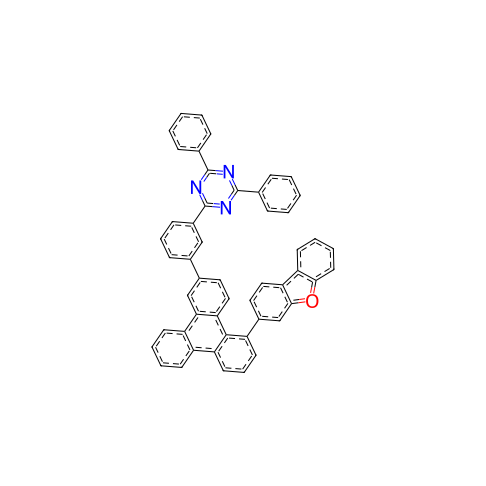 c1ccc(-c2nc(-c3ccccc3)nc(-c3cccc(-c4ccc5c(c4)c4ccccc4c4cccc(-c6ccc7c(c6)oc6ccccc67)c45)c3)n2)cc1